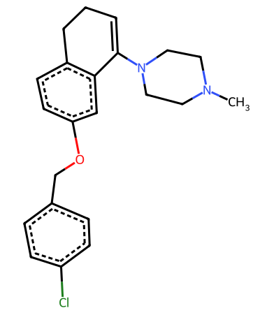 CN1CCN(C2=CCCc3ccc(OCc4ccc(Cl)cc4)cc32)CC1